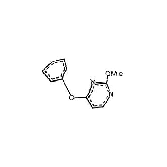 COc1nccc(Oc2cc[c]cc2)n1